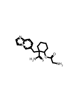 NCC(=O)OC1CCCCC1(Cc1ccc2nccn2c1)C(N)=S